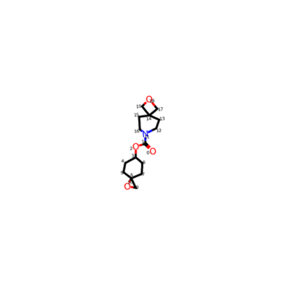 O=C(OC1CCC2(CC1)CO2)N1CCC2(CC1)COC2